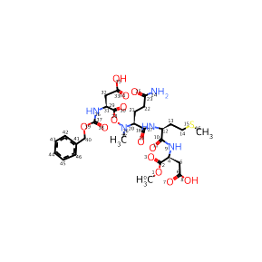 COC(=O)[C@H](CC(=O)O)NC(=O)[C@H](CCSC)NC(=O)[C@H](CCC(N)=O)N(C)OC(=O)[C@H](CC(=O)O)NC(=O)OCc1ccccc1